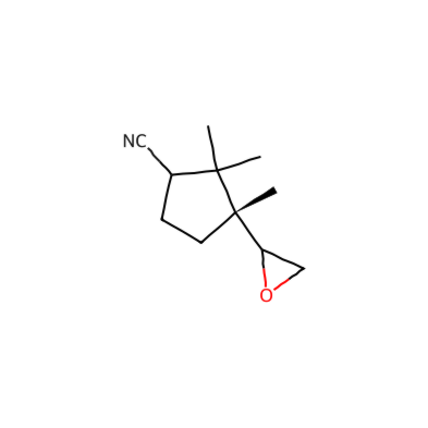 CC1(C)C(C#N)CC[C@@]1(C)C1CO1